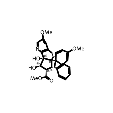 COC(=O)[C@@H]1[C@@H](c2ccccc2)[C@]2(C3(C)C=CC(OC)=CC3)Oc3cc(OC)cnc3[C@]2(O)[C@@H]1O